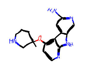 CC1(Oc2ccnc3[nH]c4cnc(N)cc4c23)CCCNC1